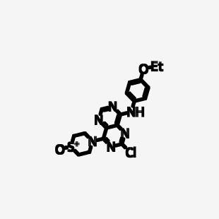 CCOc1ccc(Nc2ncnc3c(N4CC[S+]([O-])CC4)nc(Cl)nc23)cc1